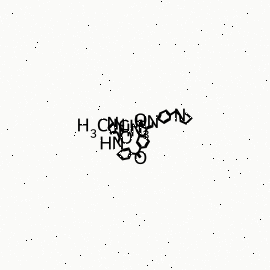 Cc1cc(C(=O)Nc2cccc(C(=O)c3ccc4c(c3)NC(=O)C4=CNc3ccc(CN4CCCC4)cc3)c2)n(C)n1